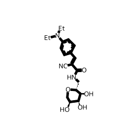 CCN(CC)c1ccc(/C=C(\C#N)C(=O)NC[C@H]2OC[C@H](O)[C@@H](O)[C@@H]2O)cc1